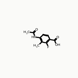 CC(=O)Nc1ccc(C(=O)O)c(F)c1C